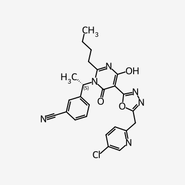 CCCCc1nc(O)c(-c2nnc(Cc3ccc(Cl)cn3)o2)c(=O)n1[C@@H](C)c1cccc(C#N)c1